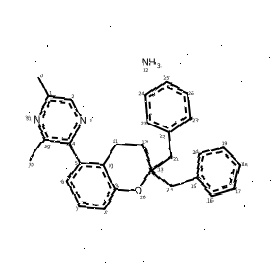 Cc1cnc(-c2cccc3c2CCC(Cc2ccccc2)(Cc2ccccc2)O3)c(C)n1.N